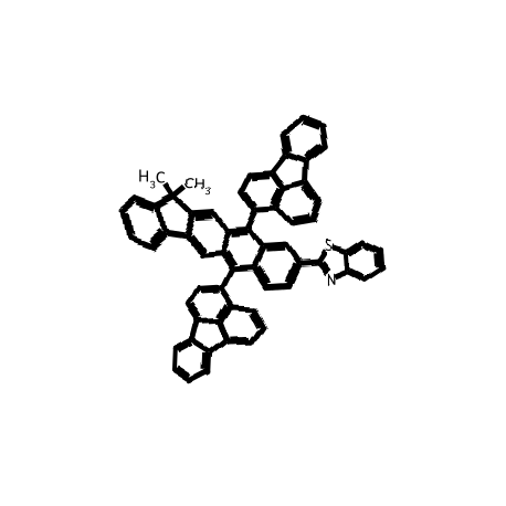 CC1(C)c2ccccc2-c2cc3c(-c4ccc5c6c(cccc46)-c4ccccc4-5)c4ccc(-c5nc6ccccc6s5)cc4c(-c4ccc5c6c(cccc46)-c4ccccc4-5)c3cc21